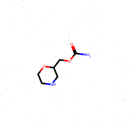 NC(=O)OCC1CNCCO1